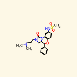 CN(C)CCCN1CC2C(c3ccccc3)Oc3ccc(NS(C)(=O)=O)cc3N2C1=O